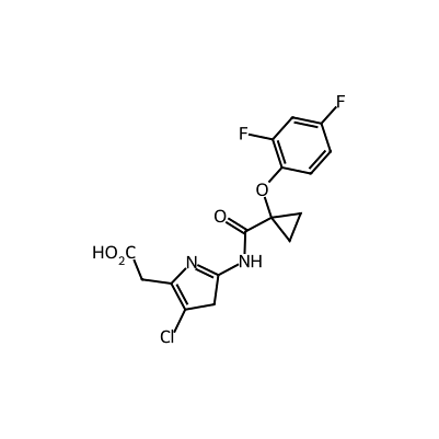 O=C(O)CC1=C(Cl)CC(NC(=O)C2(Oc3ccc(F)cc3F)CC2)=N1